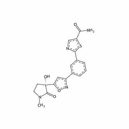 CN1CC[C@@](O)(c2cc(-c3cccc(-c4ncc(C(N)=O)s4)c3)no2)C1=O